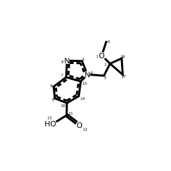 COC1(Cn2cnc3ccc(C(=O)O)cc32)CC1